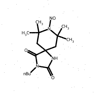 CCCCN1C(=O)NC2(CC(C)(C)N(N=O)C(C)(C)C2)C1=O